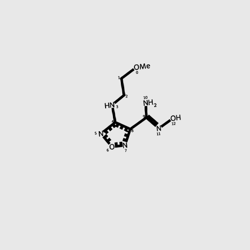 COCCNc1nonc1/C(N)=N/O